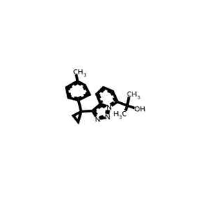 Cc1ccc(C2(c3nnn4c(C(C)(C)O)cccc34)CC2)cc1